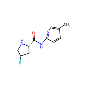 Cc1ccc(NC(=O)[C@@H]2C[C@@H](F)CN2)nc1